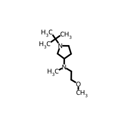 COCCN(C)C1CCN(C(C)(C)C)C1